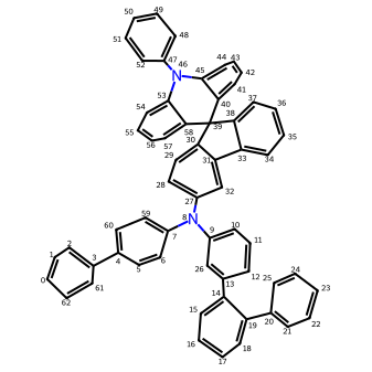 c1ccc(-c2ccc(N(c3cccc(-c4ccccc4-c4ccccc4)c3)c3ccc4c(c3)-c3ccccc3C43c4ccccc4N(c4ccccc4)c4ccccc43)cc2)cc1